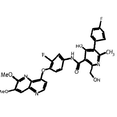 COc1cc2nccc(Oc3ccc(NC(=O)c4c(CO)nc(C)c(-c5ccc(F)cc5)c4O)cc3F)c2nc1OC